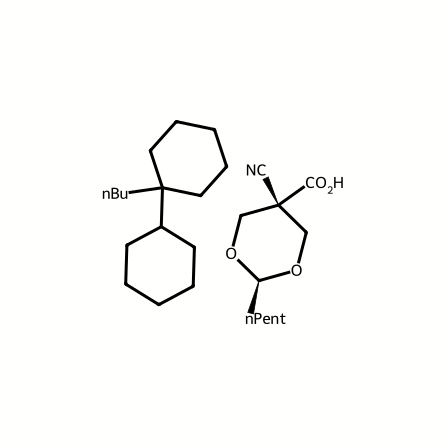 CCCCC1(C2CCCCC2)CCCCC1.CCCCC[C@H]1OC[C@](C#N)(C(=O)O)CO1